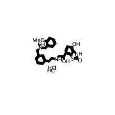 COc1ccccc1CN(C)Cc1cccc(CCNCC(O)c2ccc(O)c3[nH]c(=O)sc23)c1.Cl.Cl